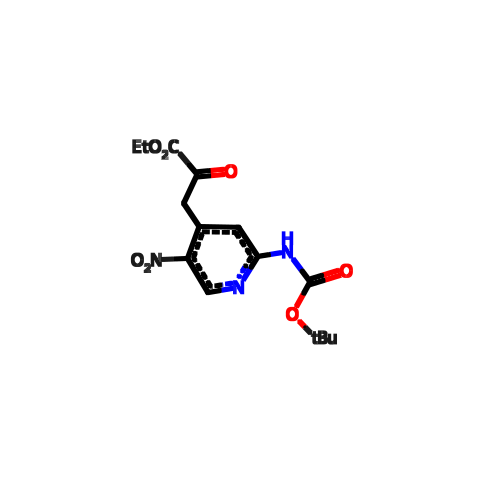 CCOC(=O)C(=O)Cc1cc(NC(=O)OC(C)(C)C)ncc1[N+](=O)[O-]